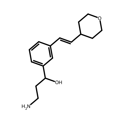 NCCC(O)c1cccc(C=CC2CCOCC2)c1